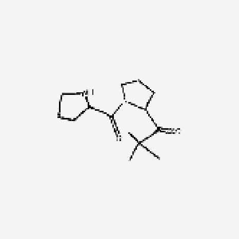 CC(C)(C)C(=O)C1CCCN1C(=O)C1CCCN1